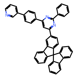 c1ccc(-c2nc(-c3ccc(-c4cccnc4)cc3)cc(-c3ccc4c(c3)-c3ccccc3C43c4ccccc4-c4ccccc43)n2)cc1